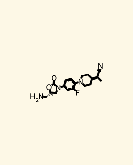 CC(C#N)=C1CCN(c2ccc(N3C[C@H](CN)OC3=O)cc2F)CC1